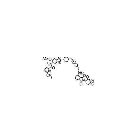 COc1cc2nc([C@H]3CC[C@H](CN4CC5(CC(CCNc6cccc7c6C(=O)N(C6CCC(=O)NC6=O)C7=O)C5)C4)CC3)sc2cc1NC(=O)c1cccc(C(F)(F)F)n1